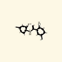 C=C(Nc1ccc(C)cc1F)c1cc(C)ccc1Cl